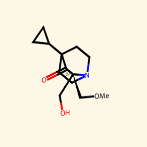 COC[C@@]1(CO)C(=O)C2(C3CC3)CCN1CC2